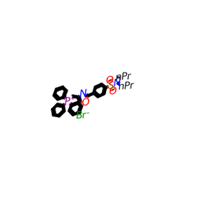 CCCN(CCC)S(=O)(=O)c1ccc(-c2nc(C[P+](c3ccccc3)(c3ccccc3)c3ccccc3)co2)cc1.[Br-]